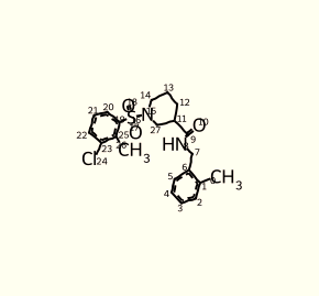 Cc1ccccc1CNC(=O)C1CCCN(S(=O)(=O)c2cccc(Cl)c2C)C1